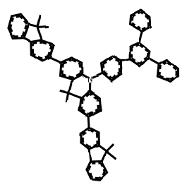 CC1(C)c2ccccc2-c2ccc(-c3ccc4c(c3)C(C)(C)c3cc(-c5ccc6c(c5)C(C)(C)c5ccccc5-6)ccc3N4c3ccc(-c4cc(-c5ccccc5)cc(-c5ccccc5)c4)cc3)cc21